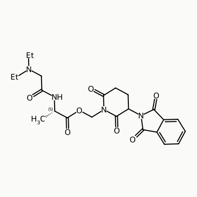 CCN(CC)CC(=O)N[C@@H](C)C(=O)OCN1C(=O)CCC(N2C(=O)c3ccccc3C2=O)C1=O